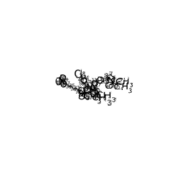 CC(C)C(=O)N1CCC[C@H]1COc1ccc2c(c1)c(SC(C)(C)C)c(CC(C)(C)C(=O)OCCCCCCO[N+](=O)[O-])n2Cc1ccc(Cl)cc1